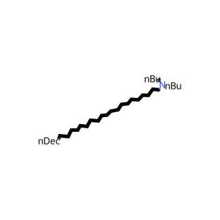 CCCCCCCCCCCCCCCCCCCCCCCCCCCCCCN(CCCC)CCCC